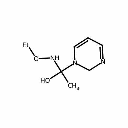 CCONC(C)(O)N1C=CC=NC1